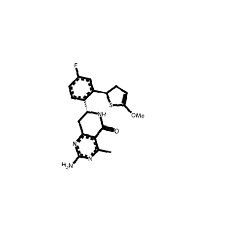 COC1=CCC(c2cc(F)ccc2[C@H]2Cc3nc(N)nc(C)c3C(=O)N2)S1